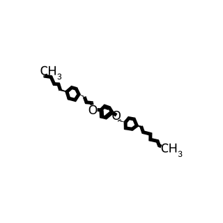 CCCCCCC[C@H]1CC[C@H](COc2ccc(OCCC[C@H]3CC[C@H](CCCCCC)CC3)cc2)CC1